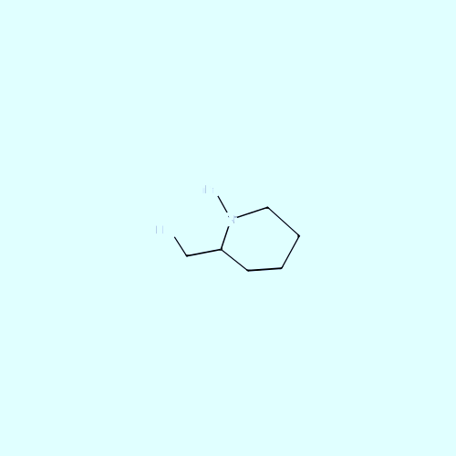 CC(C)N1CCCCC1CO